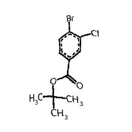 CC(C)(C)OC(=O)c1ccc(Br)c(Cl)c1